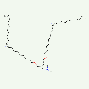 CCCCCCCC/C=C\CCCCCCCCOCC1CN(C)CC1COCCCCCCCC/C=C\CCCCCCCC